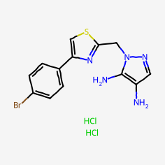 Cl.Cl.Nc1cnn(Cc2nc(-c3ccc(Br)cc3)cs2)c1N